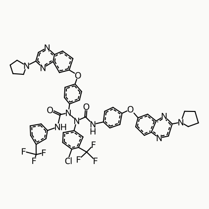 O=C(Nc1cccc(C(F)(F)F)c1)N(c1ccc(Oc2ccc3ncc(N4CCCC4)nc3c2)cc1)N(C(=O)Nc1ccc(Oc2ccc3ncc(N4CCCC4)nc3c2)cc1)c1ccc(Cl)c(C(F)(F)F)c1